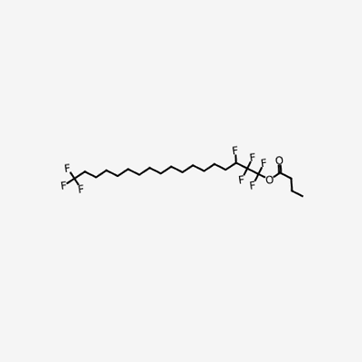 CCCC(=O)OC(F)(F)C(F)(F)C(F)CCCCCCCCCCCCCCC(F)(F)F